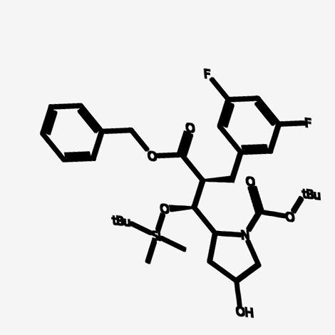 CC(C)(C)OC(=O)N1CC(O)CC1[C@@H](O[Si](C)(C)C(C)(C)C)[C@H](Cc1cc(F)cc(F)c1)C(=O)OCc1ccccc1